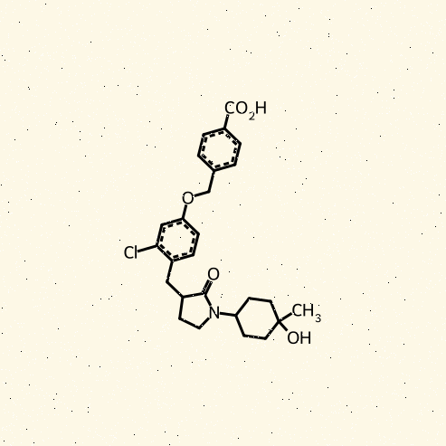 CC1(O)CCC(N2CCC(Cc3ccc(OCc4ccc(C(=O)O)cc4)cc3Cl)C2=O)CC1